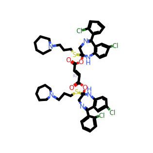 O=C(/C=C/C(=O)OC1(SCCCN2CCCCCC2)CN=C(c2ccccc2Cl)c2cc(Cl)ccc2N1)OC1(SCCCN2CCCCCC2)CN=C(c2ccccc2Cl)c2cc(Cl)ccc2N1